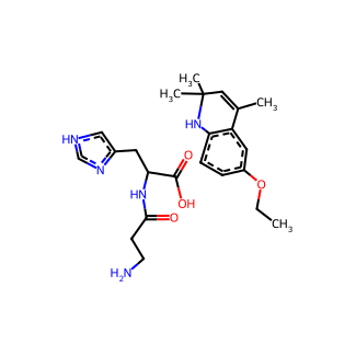 CCOc1ccc2c(c1)C(C)=CC(C)(C)N2.NCCC(=O)NC(Cc1c[nH]cn1)C(=O)O